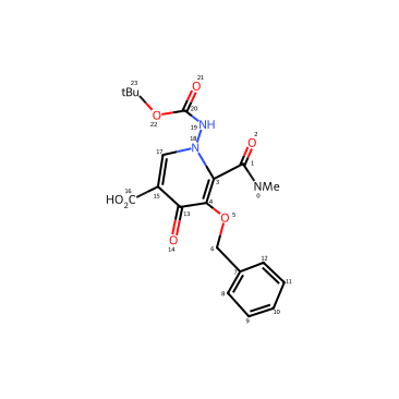 CNC(=O)c1c(OCc2ccccc2)c(=O)c(C(=O)O)cn1NC(=O)OC(C)(C)C